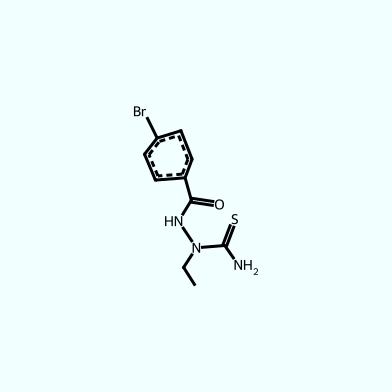 CCN(NC(=O)c1ccc(Br)cc1)C(N)=S